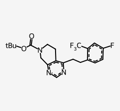 CC(C)(C)OC(=O)N1CCc2c(CCc3ccc(F)cc3C(F)(F)F)ncnc2C1